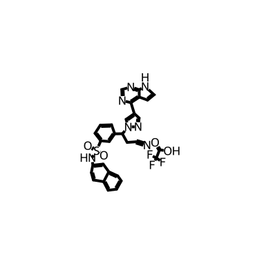 N#CCC(c1cccc(S(=O)(=O)Nc2ccc3ccccc3c2)c1)n1cc(-c2ncnc3[nH]ccc23)cn1.O=C(O)C(F)(F)F